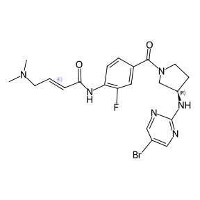 CN(C)C/C=C/C(=O)Nc1ccc(C(=O)N2CC[C@@H](Nc3ncc(Br)cn3)C2)cc1F